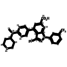 CC(C)c1nn(-c2cccc(C(F)(F)F)c2)c2nc(C(=O)O)cc(-c3cnc(N(C)C4CCOCC4)nc3)c12